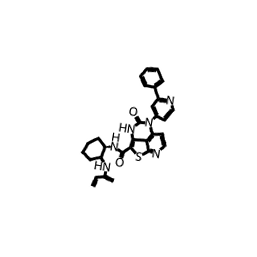 C=CC(=C)NC1CCCC[C@H]1NC(=O)c1sc2nccc3c2c1NC(=O)N3c1ccnc(-c2ccccc2)c1